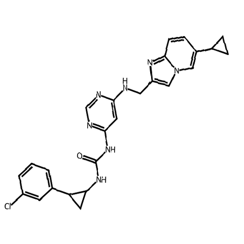 O=C(Nc1cc(NCc2cn3cc(C4CC4)ccc3n2)ncn1)NC1CC1c1cccc(Cl)c1